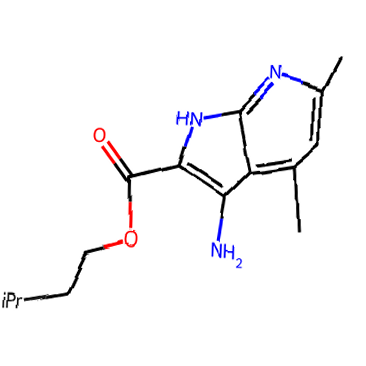 Cc1cc(C)c2c(N)c(C(=O)OCCC(C)C)[nH]c2n1